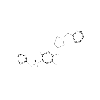 Cc1cc(S(=O)(=O)Nc2cscn2)c(F)cc1NC1CCN(Cc2ccccn2)C1